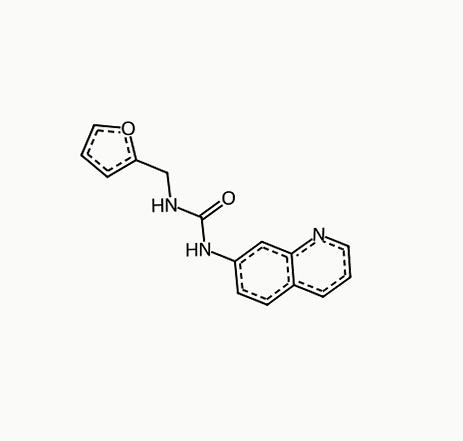 O=C(NCc1ccco1)Nc1ccc2cccnc2c1